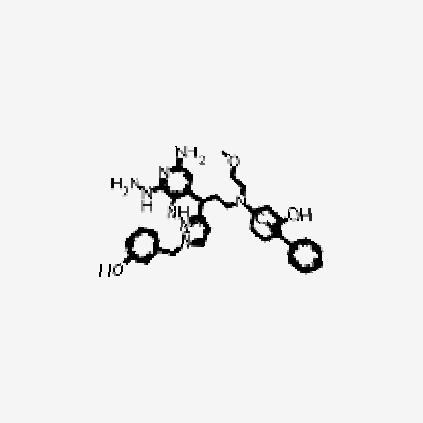 COCCN(CCC(c1ccn(Cc2cccc(O)c2)n1)c1cc(N)nc(NN)c1N)C12CCC(c3ccccc3)(CC1)C(O)C2